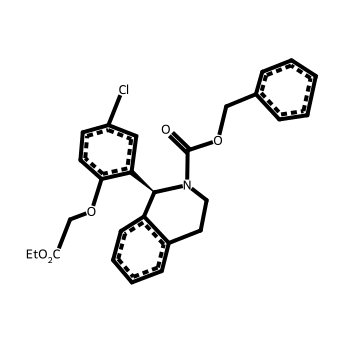 CCOC(=O)COc1ccc(Cl)cc1[C@@H]1c2ccccc2CCN1C(=O)OCc1ccccc1